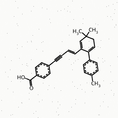 Cc1ccc(C2=CCC(C)(C)C=C2C=CC#Cc2ccc(C(=O)O)cc2)cc1